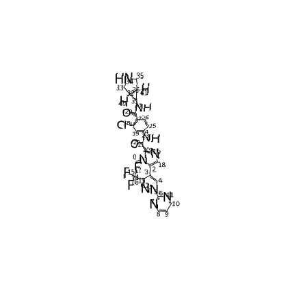 Cn1c(-c2cn(-c3ncccn3)nc2C(F)(F)F)cnc1C(=O)Nc1ccc(C(=O)NC2[C@H]3CNC[C@@H]23)c(Cl)c1